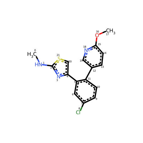 CNc1nc(-c2cc(Cl)ccc2-c2ccc(OC)nc2)cs1